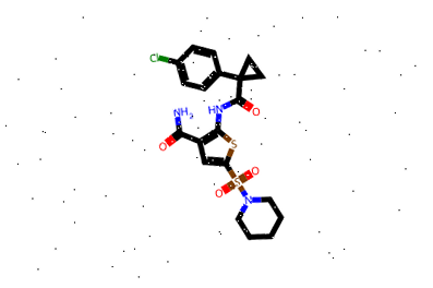 NC(=O)c1cc(S(=O)(=O)N2CCCCC2)sc1NC(=O)C1(c2ccc(Cl)cc2)CC1